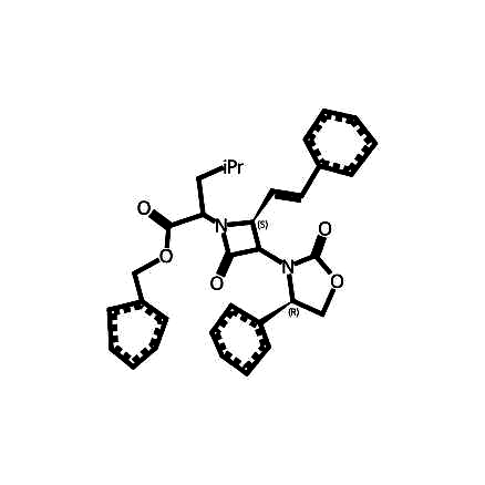 CC(C)CC(C(=O)OCc1ccccc1)N1C(=O)C(N2C(=O)OC[C@H]2c2ccccc2)[C@@H]1C=Cc1ccccc1